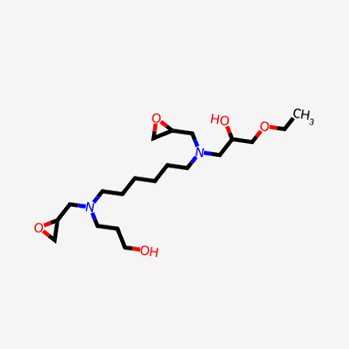 CCOCC(O)CN(CCCCCCN(CCCO)CC1CO1)CC1CO1